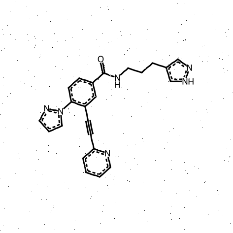 O=C(NCCCc1cn[nH]c1)c1ccc(-n2cccn2)c(C#Cc2ccccn2)c1